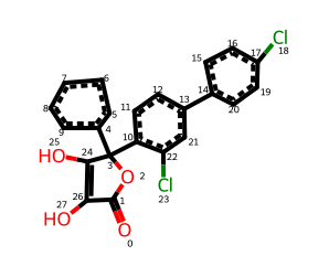 O=C1OC(c2ccccc2)(c2ccc(-c3ccc(Cl)cc3)cc2Cl)C(O)=C1O